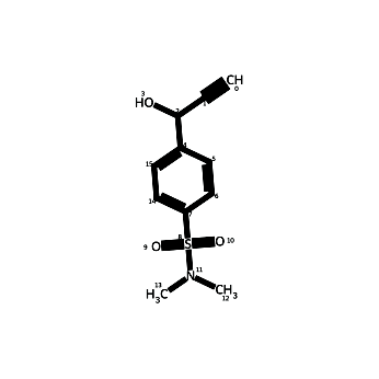 C#CC(O)c1ccc(S(=O)(=O)N(C)C)cc1